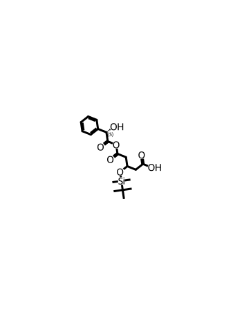 CC(C)(C)[Si](C)(C)OC(CC(=O)O)CC(=O)OC(=O)[C@@H](O)c1ccccc1